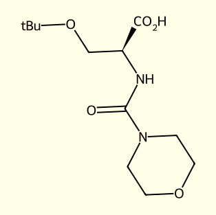 CC(C)(C)OC[C@H](NC(=O)N1CCOCC1)C(=O)O